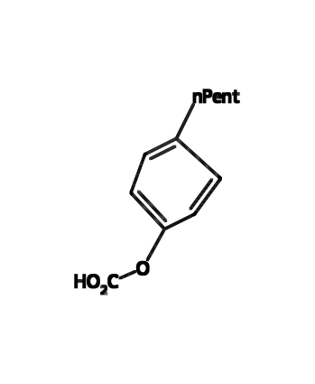 CCCCCc1ccc(OC(=O)O)cc1